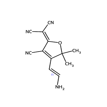 CC1(C)OC(=C(C#N)C#N)C(C#N)=C1/C=C/N